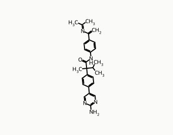 C=C(N=C(C)C)c1ccc(NC(=O)C(C)(c2ccc(-c3cnc(N)nc3)cc2)C(C)C)cc1